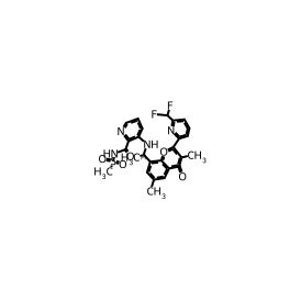 Cc1cc([C@@H](C)Nc2cccnc2C(=O)NS(C)(=O)=O)c2oc(-c3cccc(C(F)F)n3)c(C)c(=O)c2c1